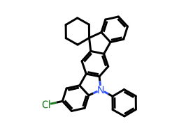 Clc1ccc2c(c1)c1cc3c(cc1n2-c1ccccc1)-c1ccccc1C31CCCCC1